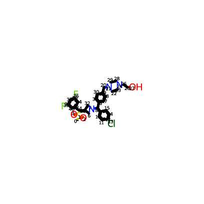 CS(=O)(=O)C(=C1CN(C(c2ccc(Cl)cc2)c2ccc(CN3CCN(CCO)CC3)cc2)C1)c1cc(F)cc(F)c1